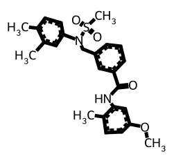 COc1ccc(C)c(NC(=O)c2cccc(CN(c3ccc(C)c(C)c3)S(C)(=O)=O)c2)c1